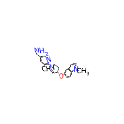 Cc1cc(CN)cnc1N1CCC(Oc2ccc3c(ccn3C)c2)CC1